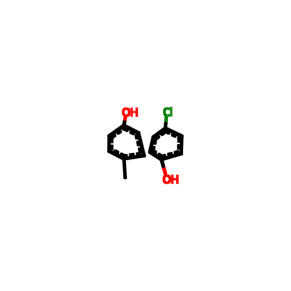 Cc1ccc(O)cc1.Oc1ccc(Cl)cc1